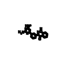 CNc1cc(-c2cccc(NC(=O)c3ccccc3O)c2)nc(N)n1